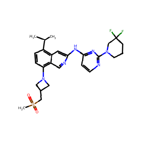 CC(C)c1ccc(N2CC(CS(C)(=O)=O)C2)c2cnc(Nc3ccnc(N4CCCC(F)(F)C4)n3)cc12